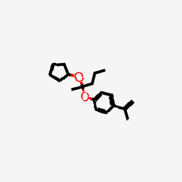 C=C(C)c1ccc(OC(C)(CCC)OC2CCCC2)cc1